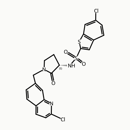 O=C1[C@@H](NS(=O)(=O)c2cc3ccc(Cl)cc3s2)CCN1Cc1ccc2ccc(Cl)nc2c1